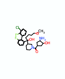 COCCCCC(O)(c1cccc(F)c1-c1cccc(Cl)c1F)C1CCCN(C(=O)C2CC(N)C(O)C2)C1